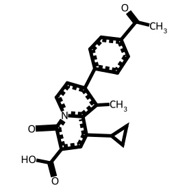 CC(=O)c1ccc(-c2ccn3c(=O)c(C(=O)O)cc(C4CC4)c3c2C)cc1